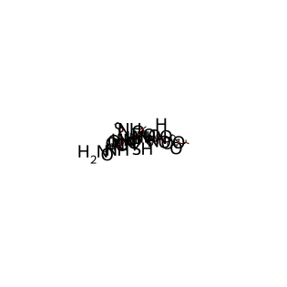 CO[C@@H]1[C@H](OC(=O)NCC(=O)N2CCCC2C(=O)N[C@@H](CC(C)C)C(=O)NCC(=O)N[C@@H](CCCS)C(=O)N[C@@H](Cc2c[nH]c3ccccc23)C(=O)N[C@@H](C)C(=O)NCC(N)=O)CC[C@]2(CO2)[C@H]1[C@@]1(C)O[C@@H]1CC=C(C)C